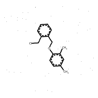 Cc1ccc(OCc2ccccc2CCl)c(C)c1